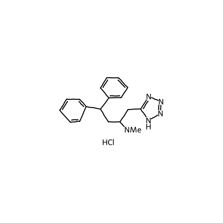 CNC(Cc1nnn[nH]1)CC(c1ccccc1)c1ccccc1.Cl